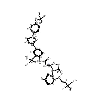 Cc1ccc(OCCC(F)(F)F)c(N2C(=O)CS/C2=N\C(=O)Nc2ccc(-c3ncn(-c4ccc(OC(F)(F)F)cn4)n3)cc2C(F)(F)F)c1